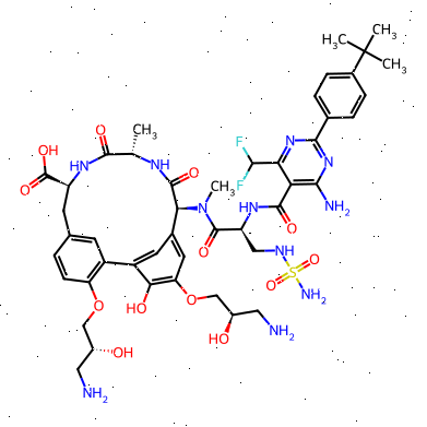 C[C@@H]1NC(=O)[C@@H](N(C)C(=O)[C@H](CNS(N)(=O)=O)NC(=O)c2c(N)nc(-c3ccc(C(C)(C)C)cc3)nc2C(F)F)c2cc(OC[C@H](O)CN)c(O)c(c2)-c2cc(ccc2OC[C@H](O)CN)C[C@@H](C(=O)O)NC1=O